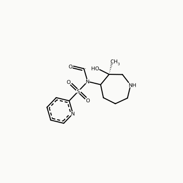 C[C@]1(O)CNCCCC1N([C]=O)S(=O)(=O)c1ccccn1